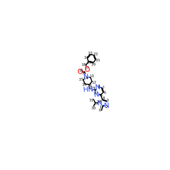 Cc1ncc(-c2ccnc(NC3CCN(C(=O)OCc4ccccc4)CC3)n2)n1C(C)C